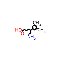 Cc1cc(C)cc(C(CCN)CCCC(=O)O)c1